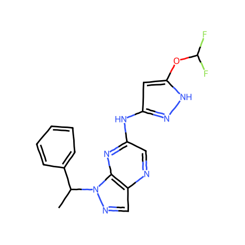 CC(c1ccccc1)n1ncc2ncc(Nc3cc(OC(F)F)[nH]n3)nc21